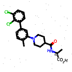 Cc1ccc(-c2cccc(Cl)c2Cl)cc1N1CCC(C(=O)N[C@@H](C)C(=O)O)CC1